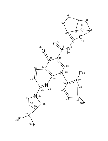 O=C(NC1=C2CCC3CC(C1)CC23)c1cn(-c2ccc(F)cc2F)c2nc(N3CC4C(C3)C4(F)F)ccc2c1=O